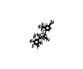 CC(C#N)(COc1ccc(C#N)cc1C(F)(F)F)NC(=S)c1c(F)c(F)c(F)c(F)c1F